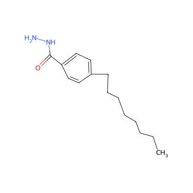 CCCCCCCCc1ccc(C(=O)NN)cc1